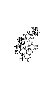 O=C1Nc2ccccc2C(c2ccccc2)=NC1Nc1nnc(-c2ccc(-n3cncn3)nc2)o1